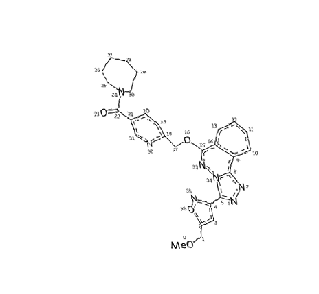 COCc1cc(-c2nnc3c4ccccc4c(OCc4ccc(C(=O)N5CCCCCC5)cn4)nn23)no1